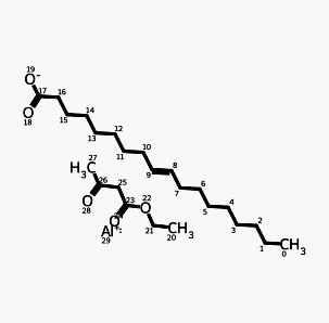 CCCCCCCCC=CCCCCCCCC(=O)[O-].CCOC(=O)CC(C)=O.[Al+]